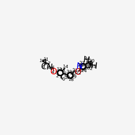 Cc1cc(OCCCC2(C#N)CC2)cc(C)c1-c1cccc(COc2cc3c(cn2)[C@@H]2C[C@@H]2C3)c1